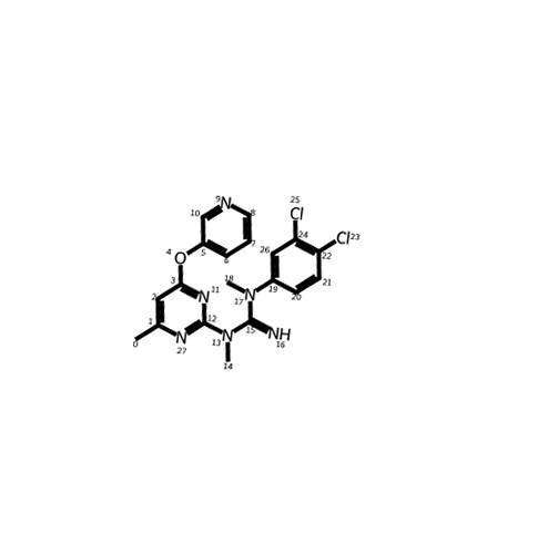 Cc1cc(Oc2cccnc2)nc(N(C)C(=N)N(C)c2ccc(Cl)c(Cl)c2)n1